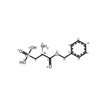 N[C@@H](CP(=O)(O)O)C(=O)OCc1ccccc1